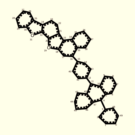 c1ccc(-c2c3ccccc3c(-c3ccc(-c4cc5oc6c(ccc7c8ccccc8oc76)c5c5ccccc45)cc3)c3ccccc23)cc1